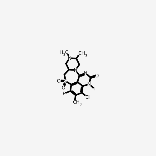 Cc1c(F)c2c3c(nc(=O)n(I)c3c1Cl)N1CC(C)N(C)CC1CS2(=O)=O